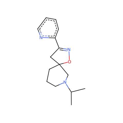 CC(C)N1CCCC2(CC(c3ccccn3)=NO2)C1